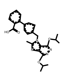 Cc1nc2c(OC(C)C)nnc(OC(C)C)c2n1Cc1ccc(-c2ccccc2C(=O)O)cc1